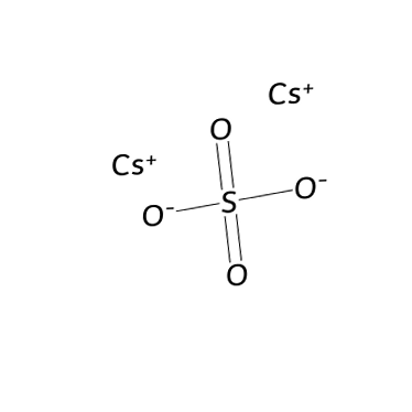 O=S(=O)([O-])[O-].[Cs+].[Cs+]